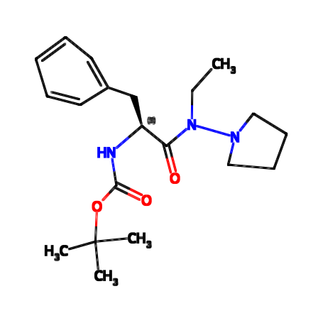 CCN(C(=O)[C@H](Cc1ccccc1)NC(=O)OC(C)(C)C)N1CCCC1